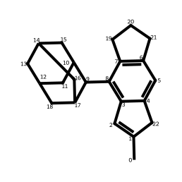 CC1=Cc2c(cc3c(c2C2C4CC5CC(C4)CC2C5)CCC3)C1